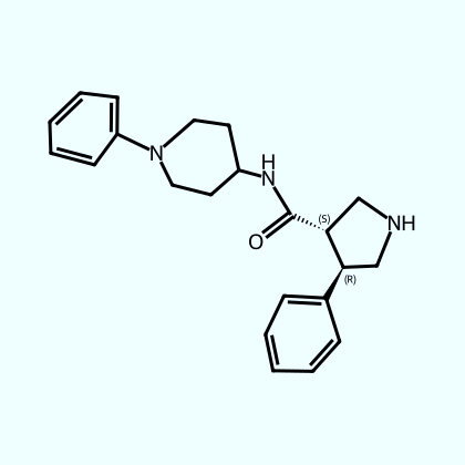 O=C(NC1CCN(c2ccccc2)CC1)[C@@H]1CNC[C@H]1c1ccccc1